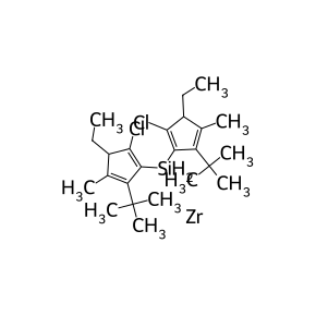 CCC1C(C)=C(C(C)(C)C)C([SiH2]C2=C(Cl)C(CC)C(C)=C2C(C)(C)C)=C1Cl.[Zr]